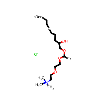 CCCCCCCCCCCCCCCCC(O)COC(CC)OCCOCC[N+](C)(C)C.[Cl-]